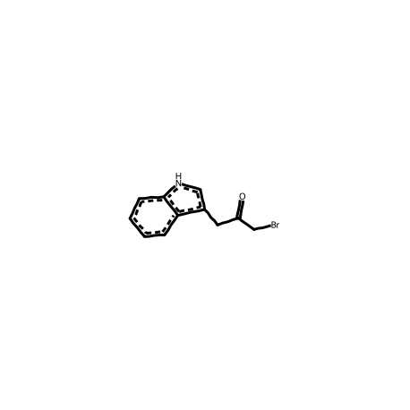 O=C(CBr)Cc1c[nH]c2ccccc12